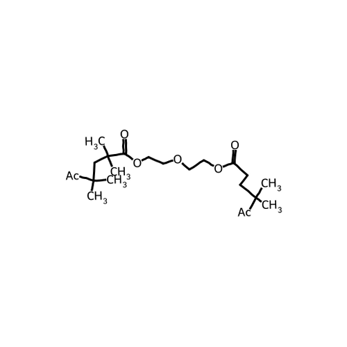 CC(=O)C(C)(C)CCC(=O)OCCOCCOC(=O)C(C)(C)CC(C)(C)C(C)=O